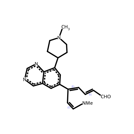 CN\C=C/C(=C\C=C\C=O)c1cc(C2CCN(C)CC2)c2ncncc2c1